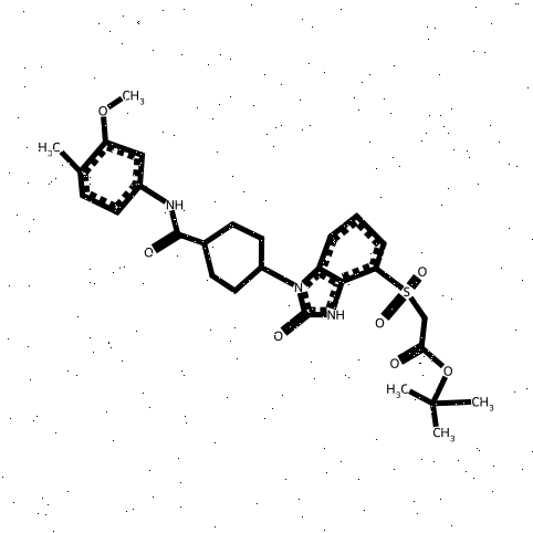 COc1cc(NC(=O)C2CCC(n3c(=O)[nH]c4c(S(=O)(=O)CC(=O)OC(C)(C)C)cccc43)CC2)ccc1C